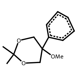 COC1(c2ccccc2)COC(C)(C)OC1